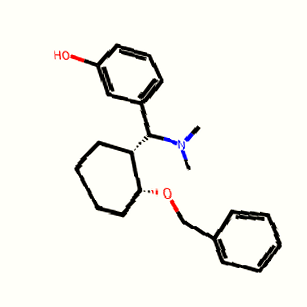 CN(C)C(c1cccc(O)c1)[C@H]1CCCC[C@H]1OCc1ccccc1